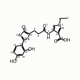 CCn1cc(NC(=O)CCc2sc(-c3ccc(O)cc3O)nc2Cl)c(C(=O)O)c1